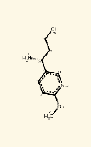 COc1ccc([C@H](N)CCO)cn1